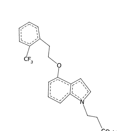 O=C(O)CCn1ccc2c(OCCc3ccccc3C(F)(F)F)cccc21